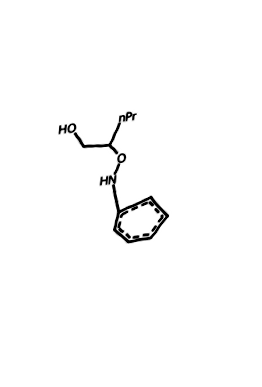 CCCC(CO)ONc1ccccc1